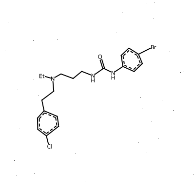 CCN(CCCNC(=O)Nc1ccc(Br)cc1)CCc1ccc(Cl)cc1